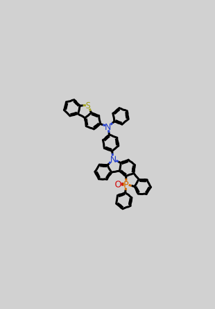 O=P1(c2ccccc2)c2ccccc2-c2ccc3c(c21)c1ccccc1n3-c1ccc(N(c2ccccc2)c2ccc3c(c2)sc2ccccc23)cc1